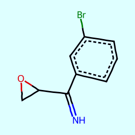 N=C(c1cccc(Br)c1)C1CO1